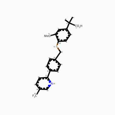 COc1cc(C(C)(C)C(=O)O)ccc1SCc1ccc(-c2ccc(C(F)(F)F)cn2)cc1